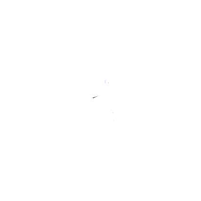 O=C(O)[C@@H]1CCCN1.[AlH3].[Zr]